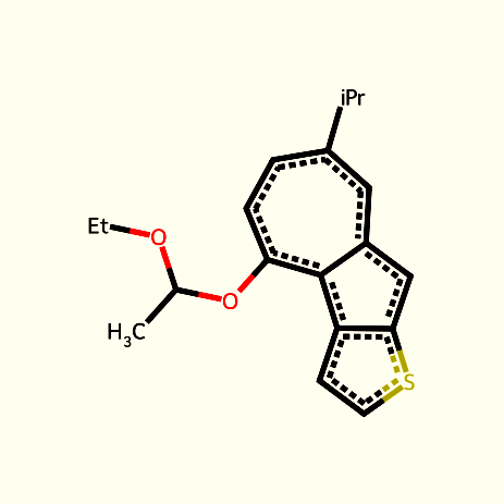 CCOC(C)Oc1ccc(C(C)C)cc2cc3sccc3c1-2